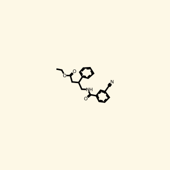 CCOC(=O)CC(CNC(=O)c1cccc(C#N)c1)c1ccccc1